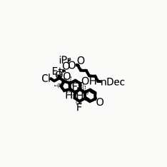 CCC(=O)O[C@]1(C(=O)CCl)[C@@H](C)C[C@H]2[C@@H]3C[C@H](F)C4=CC(=O)C=C[C@]4(C)[C@@]3(F)[C@@H](O)C[C@@]21C.CCCCCCCCCCCCCCCC(=O)OC(C)C